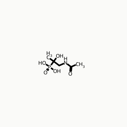 CC(=O)NCC(C)(O)P(=O)(O)O